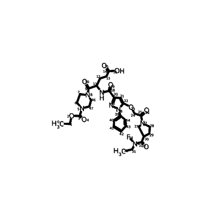 CCOC(=O)N1CCN(C(=O)C(CCC(=O)O)NC(=O)c2cc(OCC(=O)N3CCC(C(=O)N(F)CC)C3)n(-c3ccccc3)n2)CC1